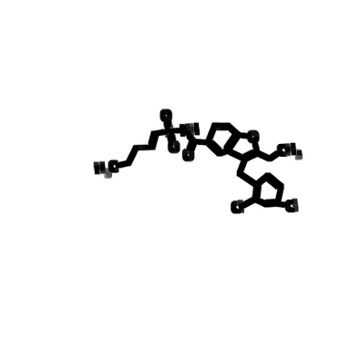 CCCC=CS(=O)(=O)NC(=O)c1ccc2oc(CC)c(Cc3ccc(Cl)cc3Cl)c2c1